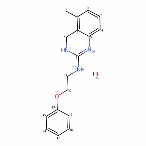 Cc1cccc2c1CNC(NCCOc1ccccc1)=N2.I